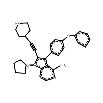 Nc1ncnc2c1c(-c1ccc(Oc3ccccc3)cc1)c(C#CC1CCNCC1)n2[C@H]1CCOC1